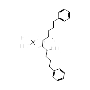 CC1(C)O[C@H]([C@@H](N)CCCc2ccccc2)[C@@H]([C@@H](N)CCCc2ccccc2)O1